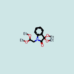 CCOC(CN1C(=O)C(OCC)(OCC)c2ccccc21)OCC